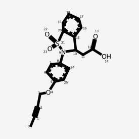 CC#CCOc1ccc(N2C(CC(=O)O)c3ccccc3S2(=O)=O)cc1